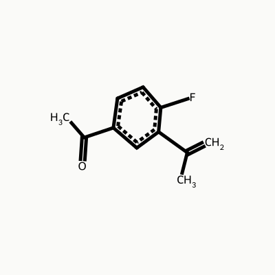 C=C(C)c1cc(C(C)=O)ccc1F